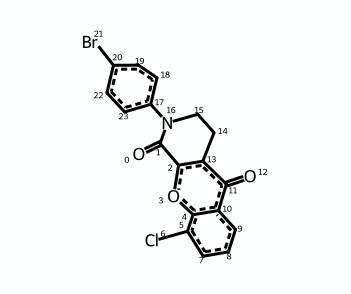 O=C1c2oc3c(Cl)cccc3c(=O)c2CCN1c1ccc(Br)cc1